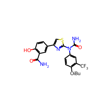 CC(C)COc1ccc(N(C(N)=O)c2nc(-c3ccc(O)c(C(N)=O)c3)cs2)cc1C(F)(F)F